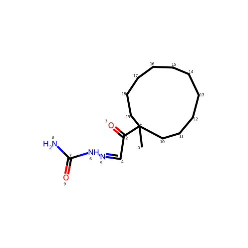 CC1(C(=O)/C=N\NC(N)=O)CCCCCCCCCC1